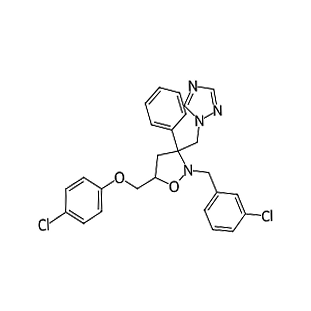 Clc1ccc(OCC2CC(Cn3cncn3)(c3ccccc3)N(Cc3cccc(Cl)c3)O2)cc1